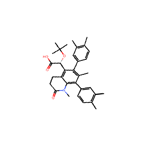 Cc1ccc(-c2c(C)c(-c3ccc(C)c(C)c3)c3c(c2[C@@H](OC(C)(C)C)C(=O)O)CCC(=O)N3C)cc1C